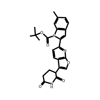 Cc1ccc2cc(-c3ccc4c(C5CCC(=O)NC5=O)coc4n3)n(C(=O)OC(C)(C)C)c2c1